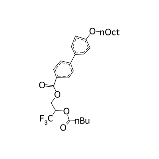 CCCCCCCCOc1ccc(-c2ccc(C(=O)OCC(OC(=O)CCCC)C(F)(F)F)cc2)cc1